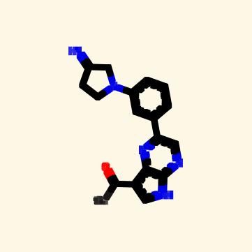 CC(C)(C)C(=O)c1c[nH]c2ncc(-c3cccc(N4CCC(=N)C4)c3)nc12